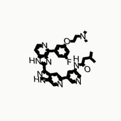 CC(C)CC(=O)Nc1cncc(-c2cc3c(-c4nc5c(-c6cc(F)cc(OCCN(C)C)c6)nccc5[nH]4)n[nH]c3cn2)c1